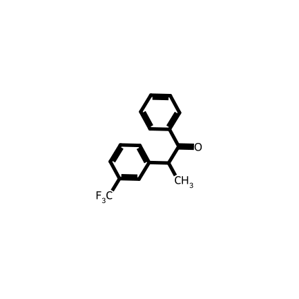 CC(C(=O)c1ccccc1)c1cccc(C(F)(F)F)c1